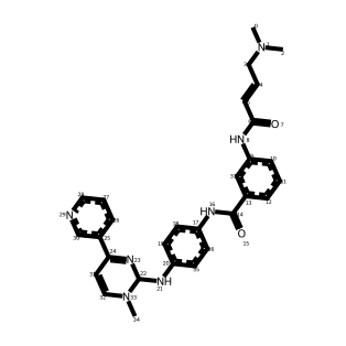 CN(C)C/C=C/C(=O)Nc1cccc(C(=O)Nc2ccc(NC3N=C(c4cccnc4)C=CN3C)cc2)c1